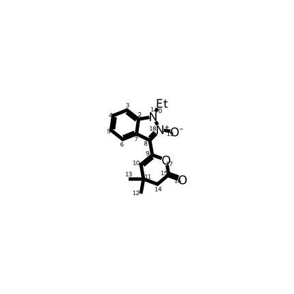 CCn1c2ccccc2c(C2=CC(C)(C)CC(=O)O2)[n+]1[O-]